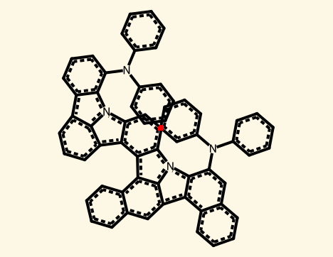 c1ccc(N(c2ccccc2)c2cccc3c4cccc5c6c7c8c9ccccc9cc9c%10c%11ccccc%11cc(N(c%11ccccc%11)c%11ccccc%11)c%10n(c7ccc6n(c23)c45)c98)cc1